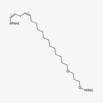 CCCCC/C=C\C/C=C\CCCCCCCCCCCCOCCCOCCCCCC